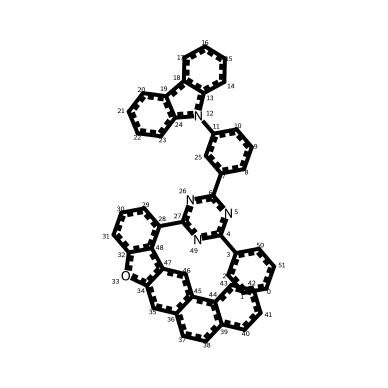 c1ccc(-c2nc(-c3cccc(-n4c5ccccc5c5ccccc54)c3)nc(-c3cccc4oc5cc6ccc7ccccc7c6cc5c34)n2)cc1